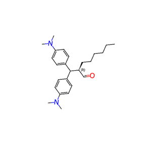 CCCCCC[C@@H](C=O)C(c1ccc(N(C)C)cc1)c1ccc(N(C)C)cc1